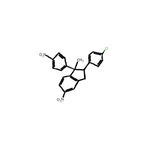 CC1(c2ccc([N+](=O)[O-])cc2)c2ccc([N+](=O)[O-])cc2CC1c1ccc(Cl)cc1